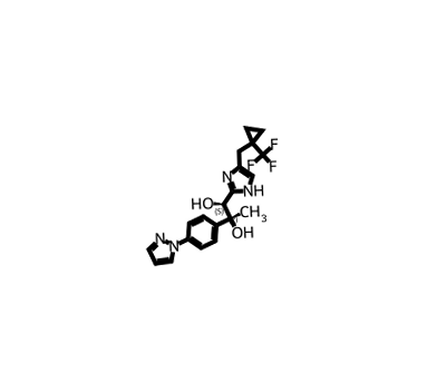 C[C@@](O)(c1ccc(-n2cccn2)cc1)[C@@H](O)c1nc(CC2(C(F)(F)F)CC2)c[nH]1